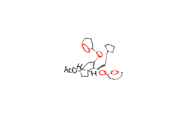 CC(=O)OC1CC[C@H]2C(/C(=C\CC3CCCC3)OC3CCCCO3)C(OC3CCCCO3)C[C@@H]12